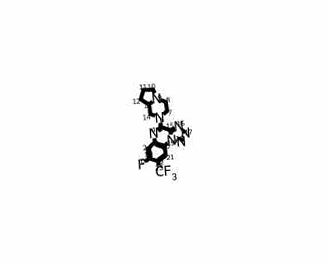 Fc1cc2nc(N3CCN4CCCC4C3)c3nnnn3c2cc1C(F)(F)F